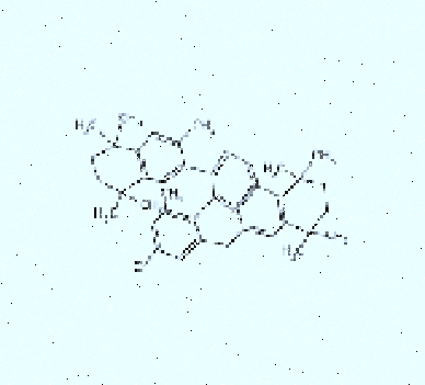 Cc1cc2c(cc1-c1ccccc1-c1c(C)cc(Cl)cc1Cc1ccc3c(c1)C(C)(C)CCC3(C)C)C(C)(C)CCC2(C)C